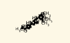 COc1cc(Nc2cc3[nH]c(-c4ccc(C(=O)N(C)C)cc4)cc3cn2)cc(OC)c1OC